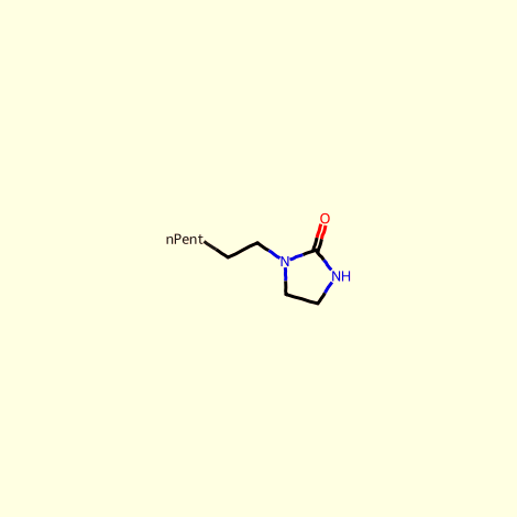 CCCCCCCN1CCNC1=O